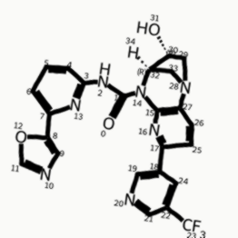 O=C(Nc1cccc(-c2cnco2)n1)N1c2nc(-c3cncc(C(F)(F)F)c3)ccc2N2C[C@@H](O)[C@H]1C2